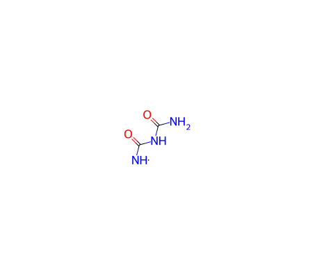 [NH]C(=O)NC(N)=O